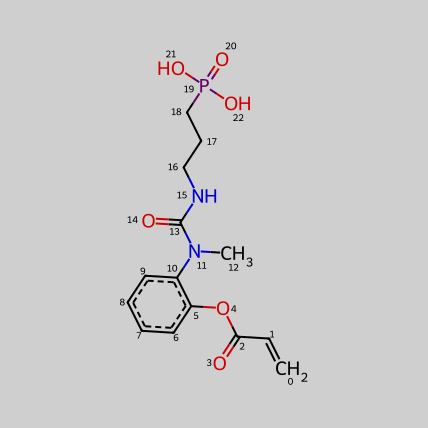 C=CC(=O)Oc1ccccc1N(C)C(=O)NCCCP(=O)(O)O